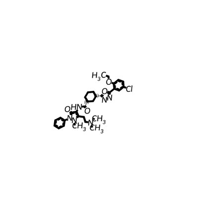 CCOc1ccc(Cl)cc1-c1nnc([C@H]2CCC[C@@H](C(=O)Nc3c(CCN(C)C)n(C)n(-c4ccccc4)c3=O)C2)o1